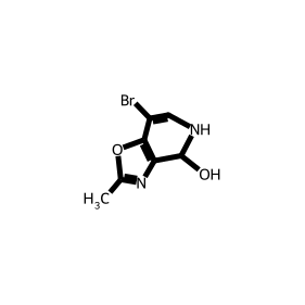 Cc1nc2c(o1)C(Br)=CNC2O